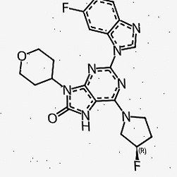 O=c1[nH]c2c(N3CC[C@@H](F)C3)nc(-n3cnc4ccc(F)cc43)nc2n1C1CCOCC1